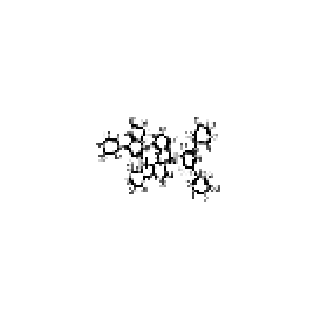 c1ccc(-c2cc(-c3ccccc3)cc(-n3c4ccccc4c4c3ccc3c5ccccc5n(-c5cc(-c6ccccc6)c6ccccc6c5)c34)c2)cc1